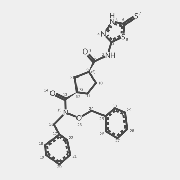 O=C(Nc1n[nH]c(=S)s1)[C@H]1CC[C@@H](C(=O)N(Cc2ccccc2)OCc2ccccc2)C1